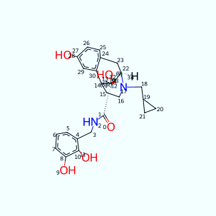 O=C(NCc1cccc(O)c1O)[C@@H]1C[C@]23CCN(CC4CC4)[C@H](Cc4ccc(O)cc42)[C@]3(O)C1